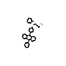 BC(B)(O)C(B)(B)c1nc2ccccc2n1-c1ccc(-c2c3ccccc3c(-c3ccccc3)c3ccccc23)cc1